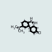 CN(C)c1ccc(BO)c(-c2ccc(Cl)cc2)c1